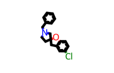 Clc1ccc2c(c1)CC1(CCN(Cc3ccccc3)C1)O2